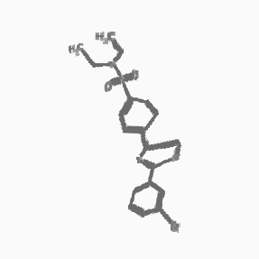 CCN(CC)S(=O)(=O)c1ccc(-c2csc(-c3cccc(Br)c3)n2)cc1